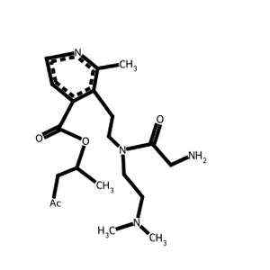 CC(=O)CC(C)OC(=O)c1ccnc(C)c1CCN(CCN(C)C)C(=O)CN